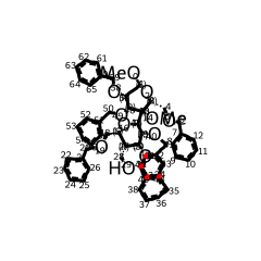 CO[C@H]1O[C@H](COCc2ccccc2)[C@](OC)([C@@H]2O[C@H](COCc3ccccc3)[C@@H](CO)[C@H](OCc3ccccc3)[C@H]2OCc2ccccc2)[C@H](OCc2ccccc2)[C@H]1OCc1ccccc1